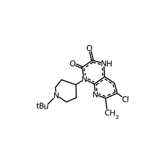 Cc1nc2c(cc1Cl)[nH]c(=O)c(=O)n2C1CCN(C(C)(C)C)CC1